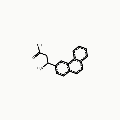 NC(CC(=O)O)c1ccc2ccc3ccccc3c2c1